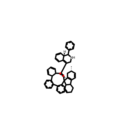 C[C@@H]1C=CC2=C(C1)C1(c3ccccc3-c3ccccc3C3C=CC=CC3c3cc(C4=C5C=CC=C[C@@H]5C(c5ccccc5)NC4)ccc31)C1C=CCCC21